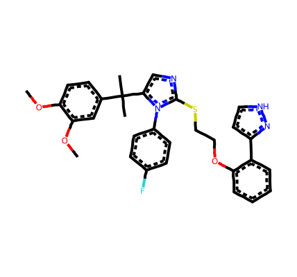 COc1ccc(C(C)(C)c2cnc(SCCOc3ccccc3-c3cc[nH]n3)n2-c2ccc(F)cc2)cc1OC